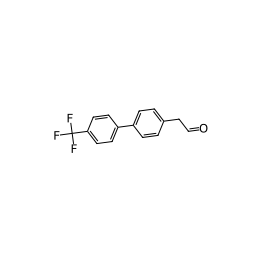 O=CCc1ccc(-c2ccc(C(F)(F)F)cc2)cc1